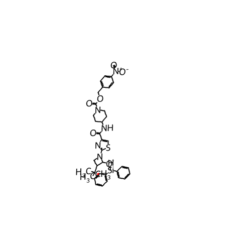 CC(C)(C)C1CN(c2nc(C(=O)NC3CCN(C(=O)OCc4ccc([N+](=O)[O-])cc4)CC3)cs2)C1O[SiH](c1ccccc1)c1ccccc1